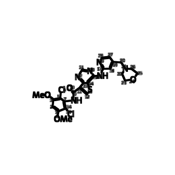 COc1cc(OC)c(Cl)c(NC(=O)c2csc3c(Nc4cc(CN5CCOCC5)ccn4)ncnc23)c1Cl